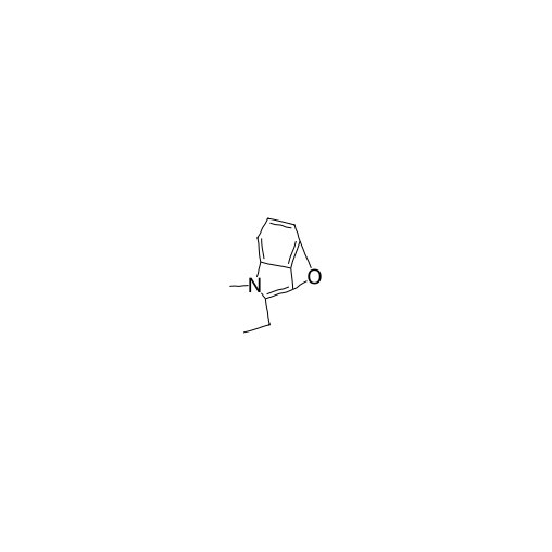 CCc1c2c3c(cccc3n1C)O2